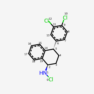 ClN[C@@H]1CC[C@@H](c2ccc(Cl)c(Cl)c2)c2ccccc21